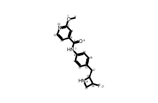 COc1cc(C(=O)Nc2ccc(CC3NCC3F)cc2)ccn1